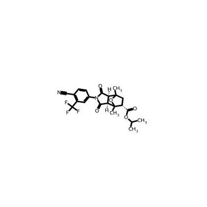 CC(C)OC(=O)[C@H]1CC2(C)OC1(C)[C@H]1C(=O)N(c3ccc(C#N)c(C(F)(F)F)c3)C(=O)[C@H]12